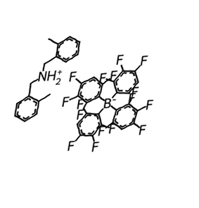 Cc1ccccc1C[NH2+]Cc1ccccc1C.Fc1cc(F)c([B-](c2c(F)cc(F)c(F)c2F)(c2c(F)cc(F)c(F)c2F)c2c(F)cc(F)c(F)c2F)c(F)c1F